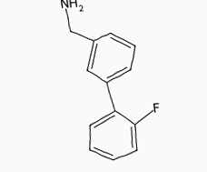 NCc1cccc(-c2ccccc2F)c1